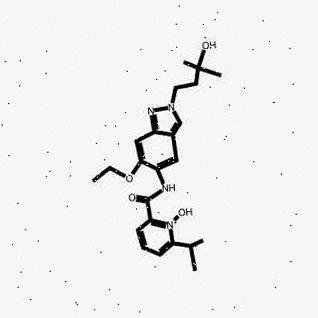 CCOc1cc2nn(CCC(C)(C)O)cc2cc1NC(=O)c1cccc(C(C)C)[n+]1O